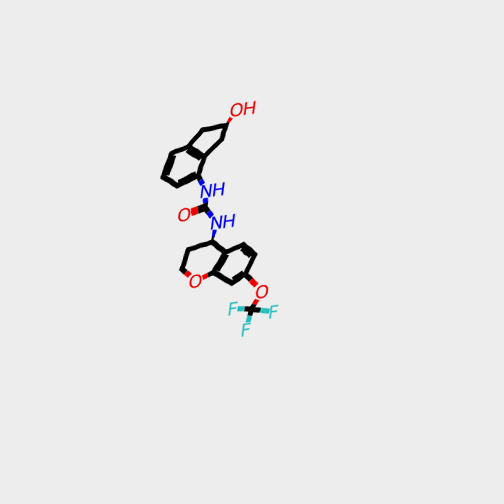 O=C(Nc1cccc2c1C[C@H](O)C2)N[C@@H]1CCOc2cc(OC(F)(F)F)ccc21